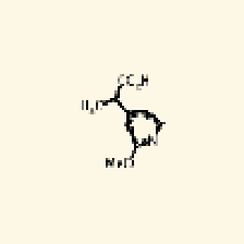 COc1cc(C(C)C(=O)O)ccn1